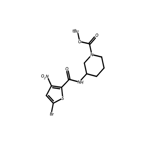 CC(C)(C)OC(=O)N1CCCC(NC(=O)c2sc(Br)cc2[N+](=O)[O-])C1